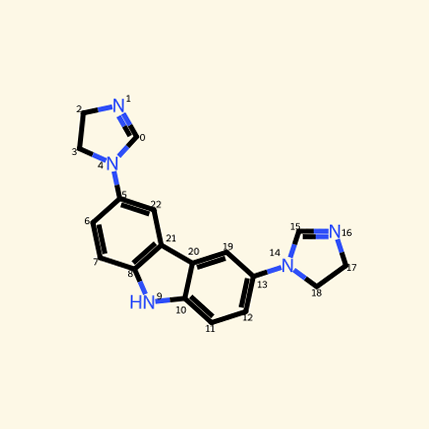 C1=NCCN1c1ccc2[nH]c3ccc(N4C=NCC4)cc3c2c1